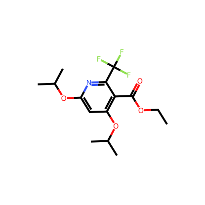 CCOC(=O)c1c(OC(C)C)cc(OC(C)C)nc1C(F)(F)F